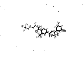 CC(CSCC(F)(F)F)NC(=O)c1ccc(/C(F)=C/C(c2cc(Br)cc(Br)c2)C(F)(F)F)cc1C(F)(F)F